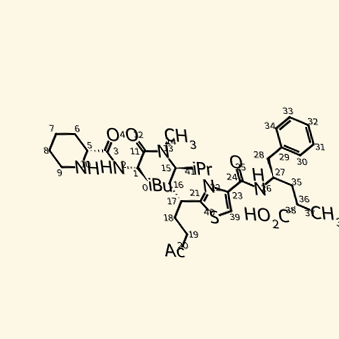 CC[C@H](C)[C@H](NC(=O)[C@H]1CCCCN1)C(=O)N(C)[C@H](C[C@@H](CCC(C)=O)c1nc(C(=O)N[C@@H](Cc2ccccc2)C[C@H](C)C(=O)O)cs1)C(C)C